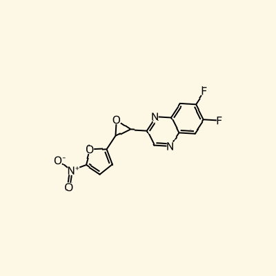 O=[N+]([O-])c1ccc(C2OC2c2cnc3cc(F)c(F)cc3n2)o1